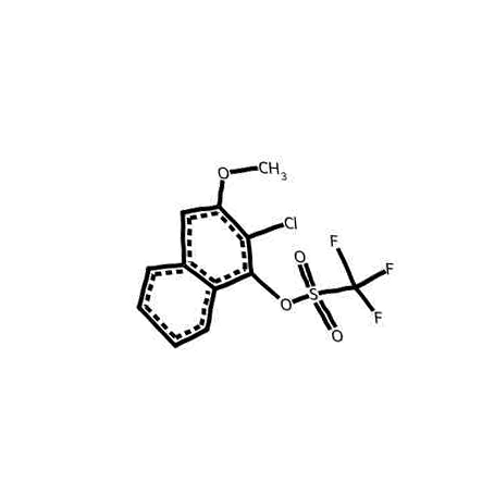 COc1cc2ccccc2c(OS(=O)(=O)C(F)(F)F)c1Cl